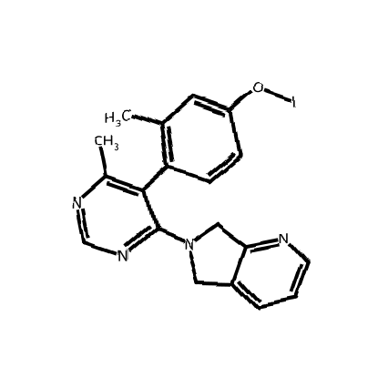 Cc1cc(OI)ccc1-c1c(C)ncnc1N1Cc2cccnc2C1